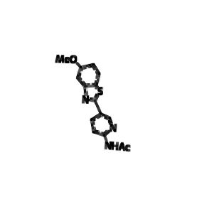 COc1ccc2sc(-c3ccc(NC(C)=O)nc3)nc2c1